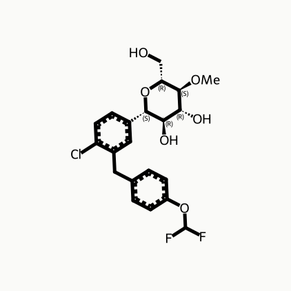 CO[C@H]1[C@H](O)[C@@H](O)[C@H](c2ccc(Cl)c(Cc3ccc(OC(F)F)cc3)c2)O[C@@H]1CO